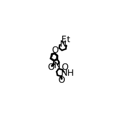 CCN1CCCC(Oc2ccc3c(c2)CN(C2CCC(=O)NC2=O)C3=O)C1